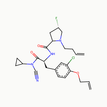 C=CCCN1C[C@@H](F)CC1C(=O)N[C@@H](Cc1ccc(OCC=C)c(Cl)c1)C(=O)N(C#N)C1CC1